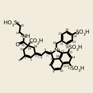 CC1=C/C(=C/C=c2\c3cccc4c(S(=O)(=O)O)cc(S(=O)(=O)O)c(c43)n2Cc2ccc(S(=O)(=O)O)cc2)CC(C(=O)O)(C(=O)NCCS(=O)(=O)O)C1